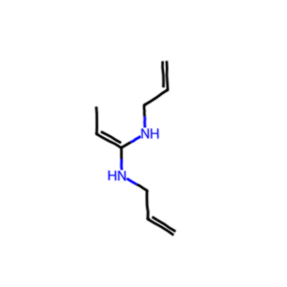 C=CCNC(=CC)NCC=C